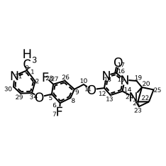 Cc1cc(Oc2c(F)cc(COc3cc4n(c(=O)n3)CC35CC(CN43)C5)cc2F)ccn1